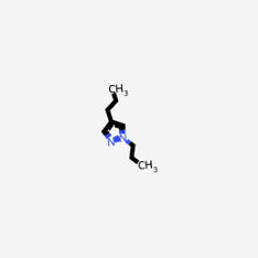 CCCc1cnn(CCC)c1